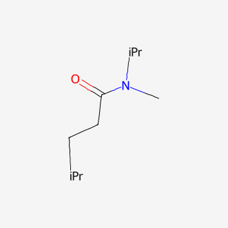 CC(C)CCC(=O)N(C)C(C)C